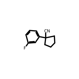 N#CC1(c2cccc(F)c2)CCCC1